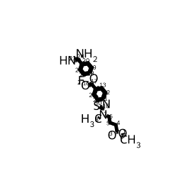 COC(=O)CCCN(C)c1nc2ccc(C(=O)Oc3ccc(C(=N)N)cc3F)cc2s1